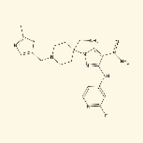 Cc1ncc(CN2CCC(CN)(n3cc(C(N)=O)c(Nc4ccnc(F)c4)n3)CC2)s1